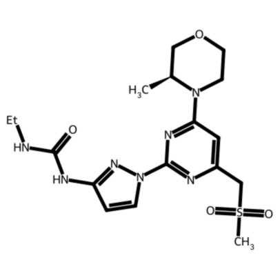 CCNC(=O)Nc1ccn(-c2nc(CS(C)(=O)=O)cc(N3CCOC[C@@H]3C)n2)n1